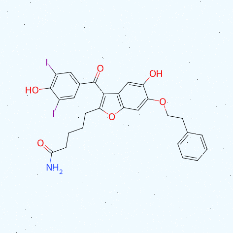 NC(=O)CCCCc1oc2cc(OCCc3ccccc3)c(O)cc2c1C(=O)c1cc(I)c(O)c(I)c1